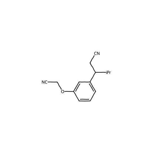 CC(C)C(CC#N)c1cccc(OCC#N)c1